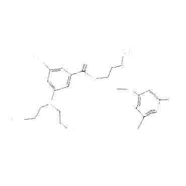 CCCN(CCC)c1cc(C)cc(C(=O)N[C@@H](COc2cc(F)cc(F)c2)[C@H](O)CN)c1